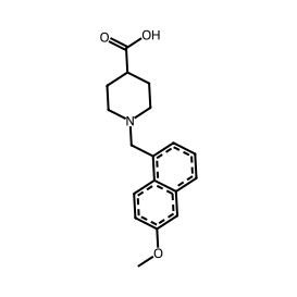 COc1ccc2c(CN3CCC(C(=O)O)CC3)cccc2c1